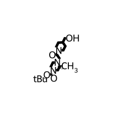 C[C@H]1CN(C(=O)OC(C)(C)C)CCN1CC(=O)N1CCC(CO)CC1